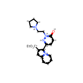 CCOC(=O)c1cc2ccccn2c1-c1ccc(=O)n(CCN2CCCC2)n1